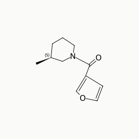 C[C@H]1CCCN(C(=O)c2ccoc2)C1